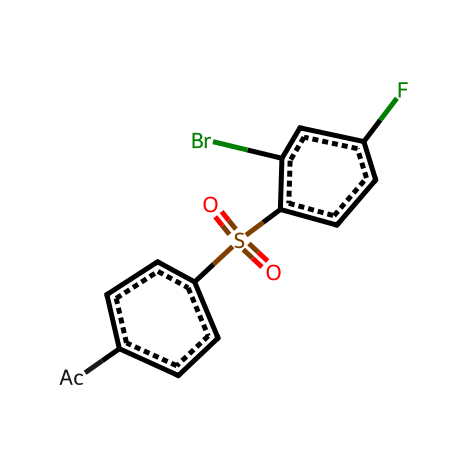 CC(=O)c1ccc(S(=O)(=O)c2ccc(F)cc2Br)cc1